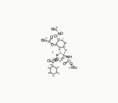 C[C@H](CC(Cc1ccc(OC(=O)C(C)(C)C)c(OC(=O)C(C)(C)C)c1)(NC(=O)OC(C)(C)C)C(=O)O)OC(=O)c1ccccc1